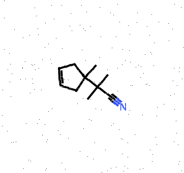 CC(C)(C#N)C1(C)CC=CC1